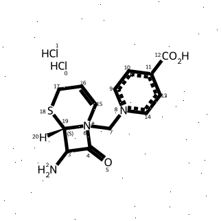 Cl.Cl.NC1C(=O)[N+]2(C[n+]3ccc(C(=O)O)cc3)C=CCS[C@@H]12